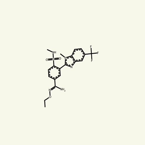 CCO/N=C(\N)c1ccc(S(=O)(=O)NC)c(-c2nc3cc(C(F)(F)F)ccc3n2C)c1